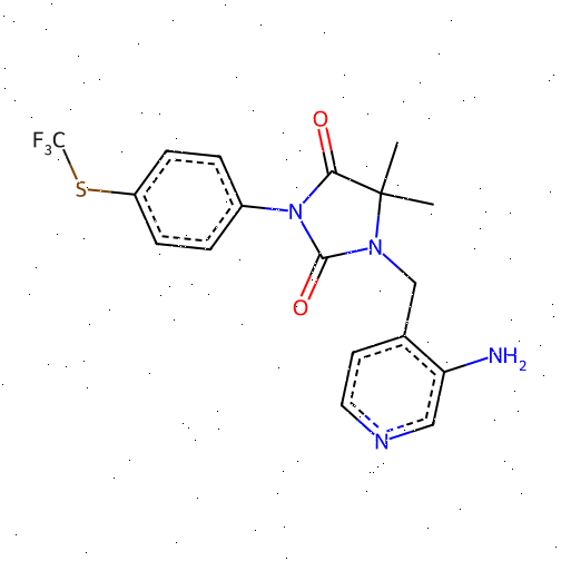 CC1(C)C(=O)N(c2ccc(SC(F)(F)F)cc2)C(=O)N1Cc1ccncc1N